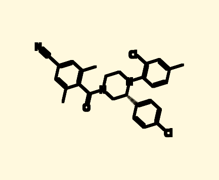 Cc1ccc(N2CCN(C(=O)c3c(C)cc(C#N)cc3C)C[C@H]2c2ccc(Cl)cc2)c(Cl)c1